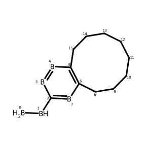 BBc1bbc2c(b1)CCCCCCCC2